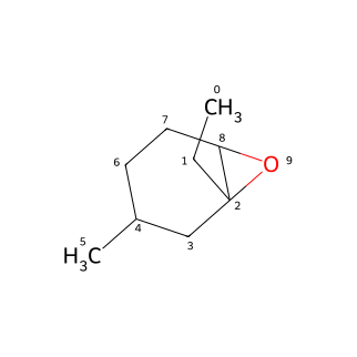 CCC12CC(C)CCC1O2